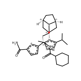 Cc1nnc(C(C)C)n1[C@@H]1C[C@H]2CC[C@@H](C1)N2CC[C@H](NC(=O)C1CCCCC1)c1ccc(C(N)=O)s1